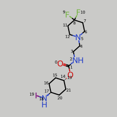 O=C(NCCN1CCC(F)(F)CC1)O[C@H]1CC[C@H](NI)CC1